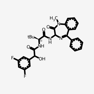 CN1C(=O)C(NC(=O)[C@@H](NC(=O)C(O)c2cc(F)cc(F)c2)C(C)(C)C)N=C(c2ccccc2)c2ccccc21